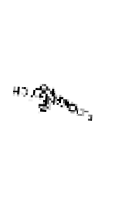 O=C(O)c1cn(-c2nccs2)c2nc(N3CCN(c4ccc(C(F)(F)F)cc4)CC3)cnc2c1=O